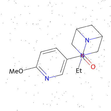 CCN1CC2CC(C1)N2C(=O)c1ccc(OC)nc1